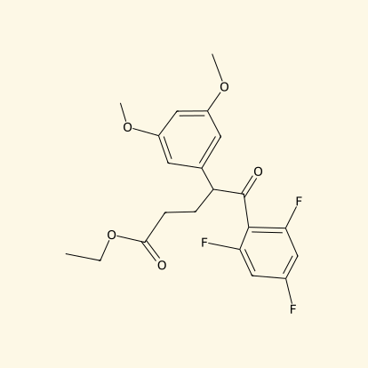 CCOC(=O)CCC(C(=O)c1c(F)cc(F)cc1F)c1cc(OC)cc(OC)c1